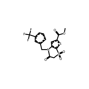 COC(=O)c1cc2c(s1)S(=O)(=O)CC(=O)N2Cc1cccc(C(F)(F)F)c1